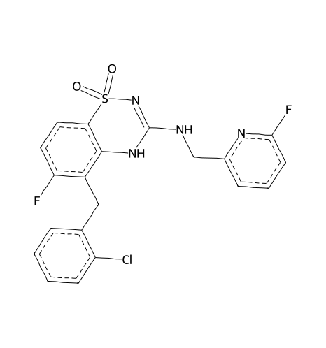 O=S1(=O)N=C(NCc2cccc(F)n2)Nc2c1ccc(F)c2Cc1ccccc1Cl